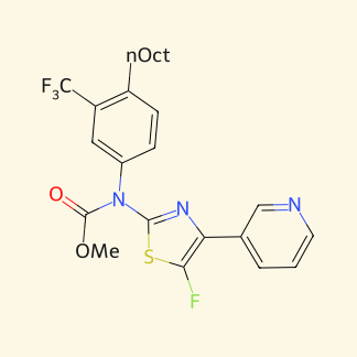 CCCCCCCCc1ccc(N(C(=O)OC)c2nc(-c3cccnc3)c(F)s2)cc1C(F)(F)F